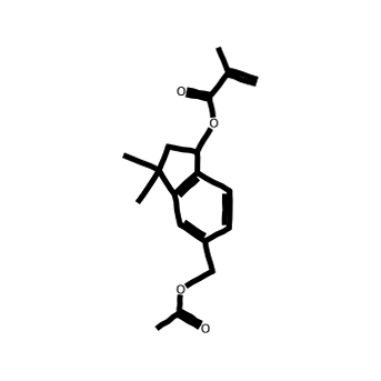 C=C(C)C(=O)OC1CC(C)(C)c2cc(COC(C)=O)ccc21